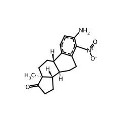 C[C@]12CC[C@@H]3c4ccc(N)c([N+](=O)[O-])c4CC[C@H]3[C@@H]1CCC2=O